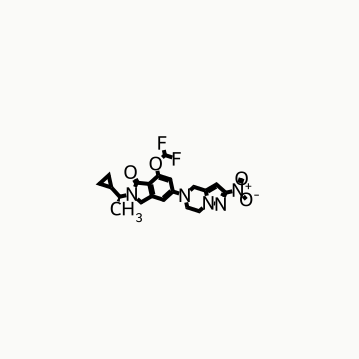 C[C@@H](C1CC1)N1Cc2cc(N3CCn4nc([N+](=O)[O-])cc4C3)cc(OC(F)F)c2C1=O